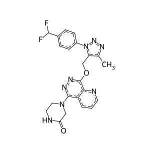 Cc1nnn(-c2ccc(C(F)F)cc2)c1COc1nnc(N2CCNC(=O)C2)c2cccnc12